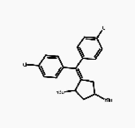 CCCCC1CC(C(C)(C)C)CC1=C(c1ccc(Cl)cc1)c1ccc(Cl)cc1